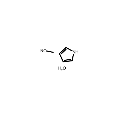 CC#N.O.c1cc[nH]c1